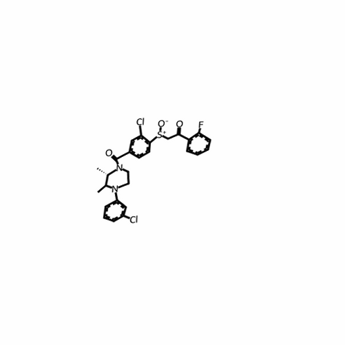 CC1[C@H](C)N(C(=O)c2ccc([S+]([O-])CC(=O)c3ccccc3F)c(Cl)c2)CCN1c1cccc(Cl)c1